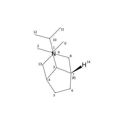 CC(C)C1C2CC[C@H]1CN(C(C)C)C2